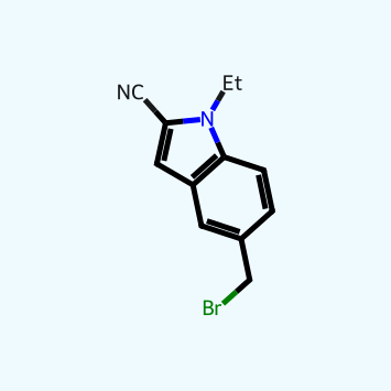 CCn1c(C#N)cc2cc(CBr)ccc21